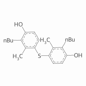 CCCCc1c(O)ccc(Sc2ccc(O)c(CCCC)c2C)c1C